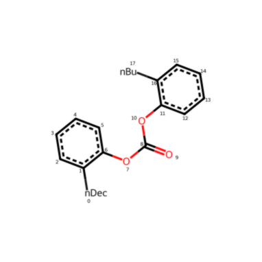 CCCCCCCCCCc1ccccc1OC(=O)Oc1ccccc1CCCC